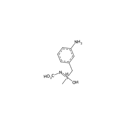 C[SH](O)(Cc1cccc(N)c1)=NC(=O)O